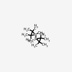 CC1(C)C(C)(C)[Si]1(C)[Si]1(C)C(C)(C)C1(C)C